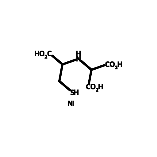 O=C(O)C(CS)NC(C(=O)O)C(=O)O.[Ni]